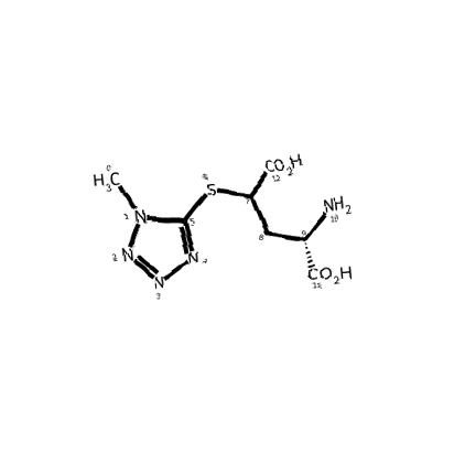 Cn1nnnc1SC(C[C@H](N)C(=O)O)C(=O)O